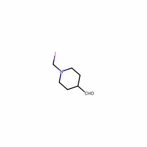 O=CC1CCN(CI)CC1